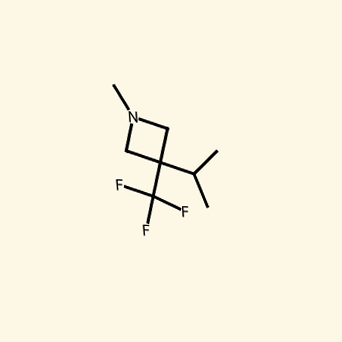 CC(C)C1(C(F)(F)F)CN(C)C1